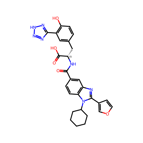 O=C(N[C@@H](Cc1ccc(O)c(-c2nn[nH]n2)c1)C(=O)O)c1ccc2c(c1)nc(-c1ccoc1)n2C1CCCCC1